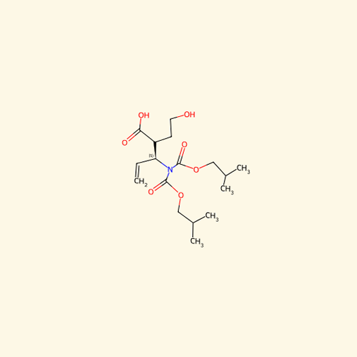 C=C[C@@H](C(CCO)C(=O)O)N(C(=O)OCC(C)C)C(=O)OCC(C)C